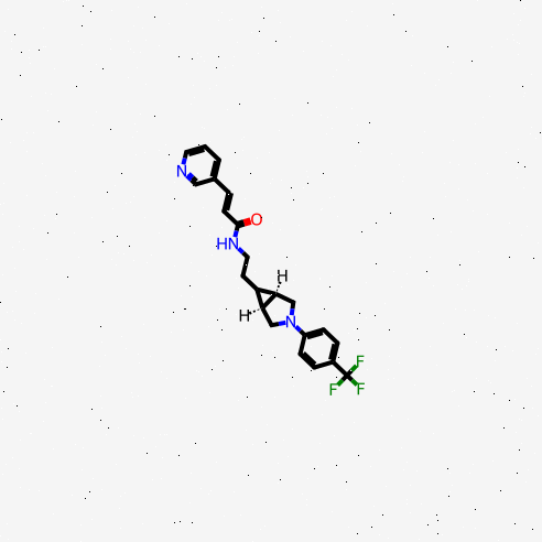 O=C(/C=C/c1cccnc1)NCCC1[C@H]2CN(c3ccc(C(F)(F)F)cc3)C[C@@H]12